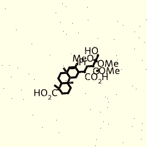 COOC(CC(C(=O)O)C1CC2C(C)(C=C1C(C)C)CCC1C(C)(C(=O)O)CCCC21C)C(CO)(OC)OC